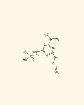 C=CCNc1nc(N)nc(N(N)N)n1.O=P(O)(O)O